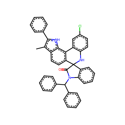 Cc1c(-c2ccccc2)[nH]c2c3c(ccc12)C1(Nc2ccc(Cl)cc2-3)C(=O)N(C(c2ccccc2)c2ccccc2)c2ccccc21